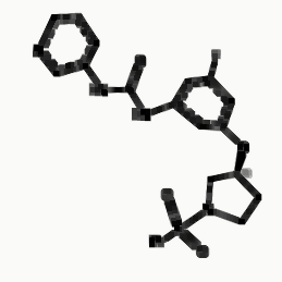 CC(C)S(=O)(=O)N1CC[C@H](Oc2cc(F)cc(NC(=O)Nc3cccnc3)c2)C1